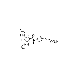 CC(=O)CNc1c(I)c(NCC(C)=O)c(I)c(C(=O)Nc2ccc(CCCC(=O)O)cc2)c1I